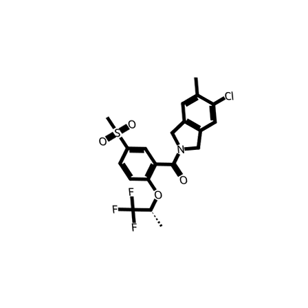 Cc1cc2c(cc1Cl)CN(C(=O)c1cc(S(C)(=O)=O)ccc1O[C@H](C)C(F)(F)F)C2